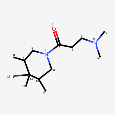 CC1CN(C(=O)CCN(C)C)CC(C)C1(C)I